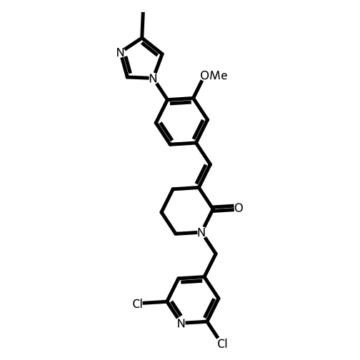 COc1cc(/C=C2\CCCN(Cc3cc(Cl)nc(Cl)c3)C2=O)ccc1-n1cnc(C)c1